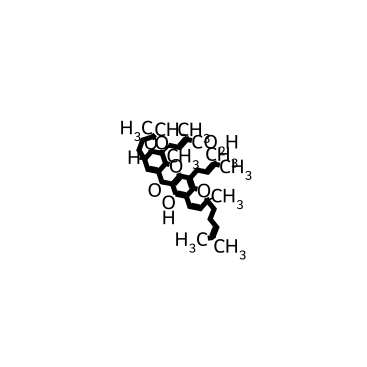 CC(C)=CCC[C@@]1(C)C=Cc2c(O)c3c(c(CC=C(C)C)c2O1)O[C@@]1(C)C(=C[C@@H]2CCC(C)(C)O[C@@]1(C/C=C(\C)C(=O)O)C2=O)C3=O